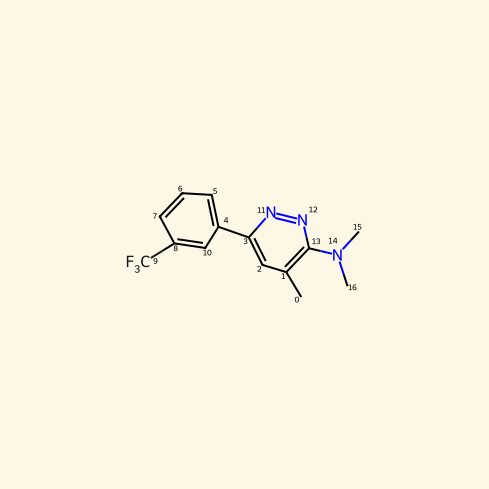 Cc1cc(-c2cccc(C(F)(F)F)c2)nnc1N(C)C